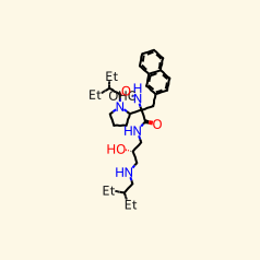 CCC(CC)CNC[C@H](O)CNC(=O)C(Cc1ccc2ccccc2c1)(NC=O)C1CCCN1C(=O)C(CC)CC